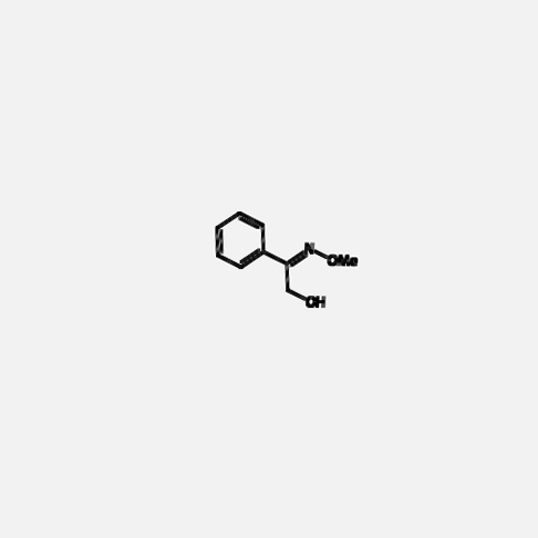 CON=C(CO)c1ccccc1